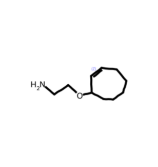 NCCOC1/C=C\CCCCC1